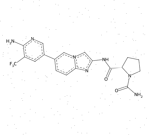 NC(=O)N1CCC[C@H]1C(=O)Nc1cn2cc(-c3cnc(N)c(C(F)(F)F)c3)ccc2n1